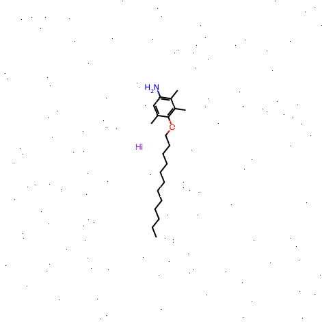 CCCCCCCCCCCCOc1c(C)cc(N)c(C)c1C.I